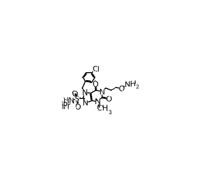 CC(C)NS(=O)(=O)c1nc2c(c(=O)n(CCCON)c(=O)n2C)n1Cc1ccc(Cl)cc1